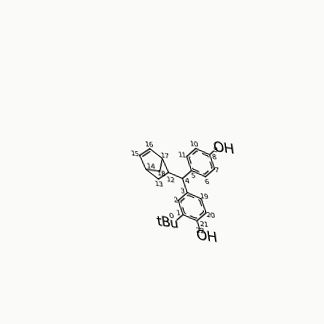 CC(C)(C)c1cc(C(c2ccc(O)cc2)C2CC3C=CC2C3)ccc1O